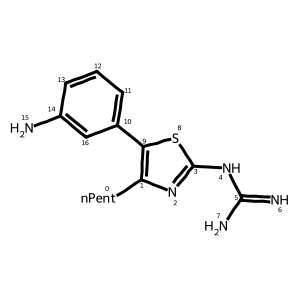 CCCCCc1nc(NC(=N)N)sc1-c1cccc(N)c1